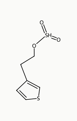 O=[SH](=O)OCCc1ccsc1